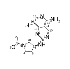 CC(=O)N1CC[C@H](Nc2ncc3c(N)ncc(I)c3n2)C1